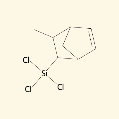 CC1C2C=CC(C2)C1[Si](Cl)(Cl)Cl